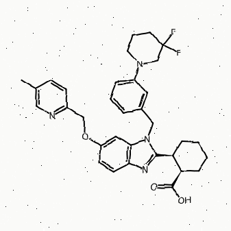 Cc1ccc(COc2ccc3nc([C@H]4CCCC[C@H]4C(=O)O)n(Cc4cccc(N5CCCC(F)(F)C5)c4)c3c2)nc1